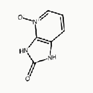 O=c1[nH]c2ccc[n+]([O-])c2[nH]1